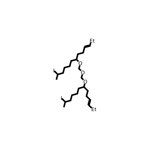 CCC=CCCC(CCCCC(C)I)OCOCOC(CCC=CCC)CCCCC(C)I